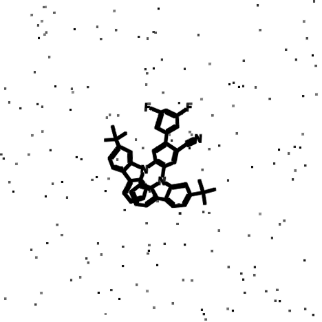 CC(C)(C)c1ccc2c3ccccc3n(-c3cc(C#N)c(-c4cc(F)cc(F)c4)cc3-n3c4ccccc4c4ccc(C(C)(C)C)cc43)c2c1